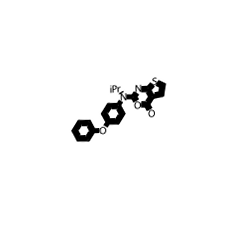 CC(C)N(c1ccc(Oc2ccccc2)cc1)c1nc2sccc2c(=O)o1